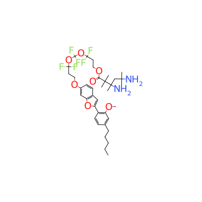 CCCCCc1ccc(-c2cc3ccc(OCCC(F)(F)OC(F)(F)OC(F)(F)CCOC(=O)C(C)(C)C(C)(N)CC(C)(C)N)cc3o2)c(OC)c1